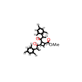 COC(=O)C1CC(C(=O)C(C)c2c(C)cc(C)cc2C)C1C(=O)C(C)c1c(C)cc(C)cc1C